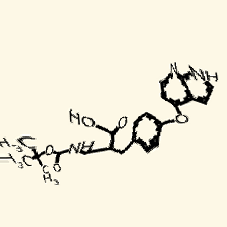 CC(C)(C)OC(=O)NCC(Cc1ccc(Oc2ccnc3[nH]ccc23)cc1)C(=O)O